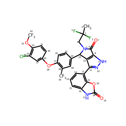 CC(F)(F)CN1C(=O)c2[nH]nc(-c3cccc4[nH]c(=O)oc34)c2C1c1ccc(Oc2ccc(OC(F)(F)F)c(Cl)c2)c(C(F)(F)F)c1